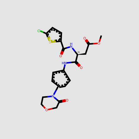 COC(=O)C[C@H](NC(=O)c1ccc(Cl)s1)C(=O)Nc1ccc(N2CCOCC2=O)cc1